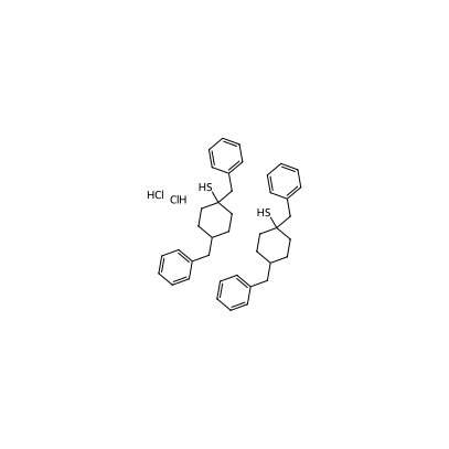 Cl.Cl.SC1(Cc2ccccc2)CCC(Cc2ccccc2)CC1.SC1(Cc2ccccc2)CCC(Cc2ccccc2)CC1